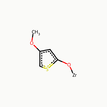 COc1csc([O][Zr])c1